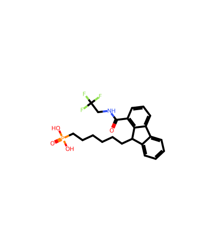 O=C(NCC(F)(F)F)c1cccc2c1C(CCCCCCP(=O)(O)O)c1ccccc1-2